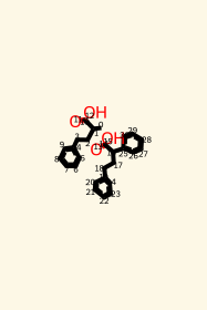 CC(CCc1ccccc1)C(=O)O.O=C(O)C(CCc1ccccc1)c1ccccc1